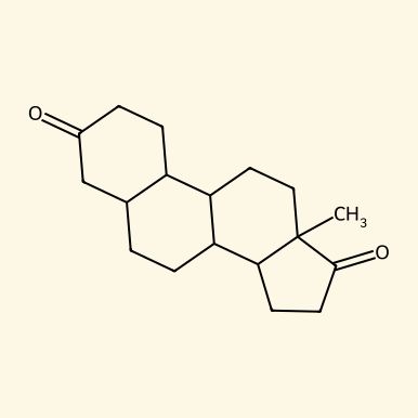 CC12CCC3C4CCC(=O)CC4CCC3C1CCC2=O